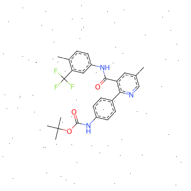 Cc1cnc(-c2ccc(NC(=O)OC(C)(C)C)cc2)c(C(=O)Nc2ccc(C)c(C(F)(F)F)c2)c1